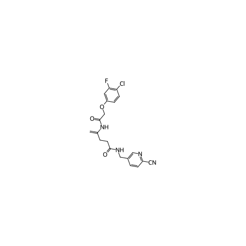 C=C(CCC(=O)NCc1ccc(C#N)nc1)NC(=O)COc1ccc(Cl)c(F)c1